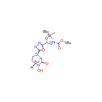 CC(C)(C)OC(=O)NCC(O[Si](C)(C)C(C)(C)C)c1nnc([C@@H]2CC[C@@H]3CN2C(=O)N3O)o1